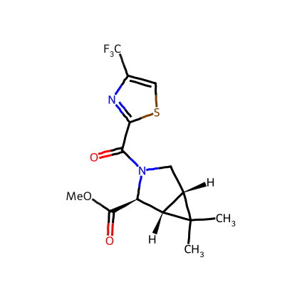 COC(=O)[C@@H]1[C@@H]2[C@H](CN1C(=O)c1nc(C(F)(F)F)cs1)C2(C)C